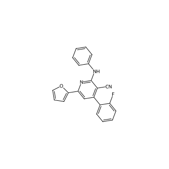 N#Cc1c(-c2ccccc2F)cc(-c2ccco2)nc1Nc1ccccc1